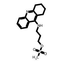 CS(=O)(=O)OCCCNc1c2c(nc3ccccc13)CCCC2